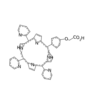 O=C(O)COc1ccc(-c2c3nc(c(-c4ccccn4)c4ccc([nH]4)c(-c4ccccn4)c4nc(c(-c5ccccn5)c5ccc2[nH]5)C=C4)C=C3)cc1